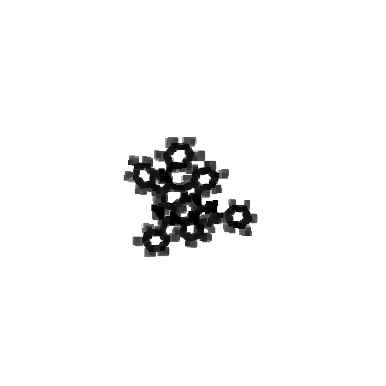 c1ccc(-c2ccnc(-n3c4ccccc4c4c5c(c6ccccc6n5-c5ccccc5)c5nc(-c6ccccc6)n(-c6ccccc6)c5c43)n2)cc1